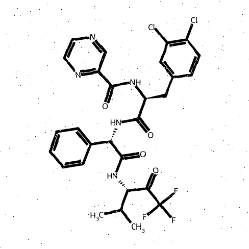 CC(C)[C@H](NC(=O)[C@@H](NC(=O)[C@H](Cc1ccc(Cl)c(Cl)c1)NC(=O)c1cnccn1)c1ccccc1)C(=O)C(F)(F)F